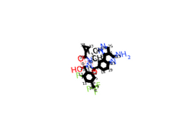 BC(O)(c1ccc(C(F)(F)F)cc1F)N(C(=O)c1ccc2nc(N)c3cnn(C)c3c2c1)N(C)C(=O)C1CC1